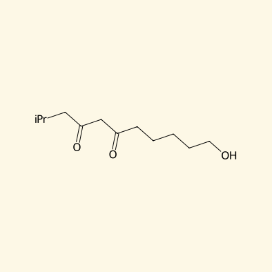 CC(C)CC(=O)CC(=O)CCCCCO